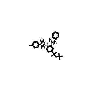 Cc1ccc(S(=O)(=O)Oc2ccc(C(C)(C)CC(C)(C)C)cc2-n2nc3ccccc3n2)cc1